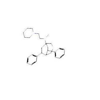 CN(CCN1CCCCC1)C12CNCC(C(c3ccccc3)C1)C(c1ccccc1)C2